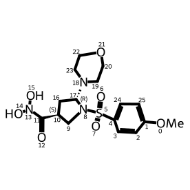 COc1ccc(S(=O)(=O)N2C[C@@H](C(=O)N(O)O)C[C@@H]2N2CCOCC2)cc1